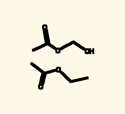 CC(=O)OCO.CCOC(C)=O